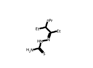 CCCC(CC)/C(CC)=N\NC(N)=S